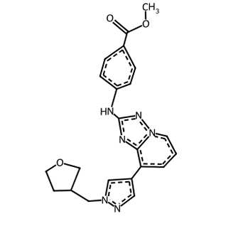 COC(=O)c1ccc(Nc2nc3c(-c4cnn(CC5CCOC5)c4)cccn3n2)cc1